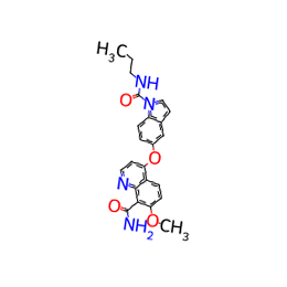 CCCNC(=O)n1ccc2cc(Oc3ccnc4c(C(N)=O)c(OC)ccc34)ccc21